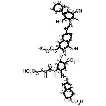 Cc1c(N=Nc2ccc3c(O)c(N=Nc4cc(NC(=O)NCCC(=O)O)c(N=Nc5nc6ccc(C(=O)O)cc6s5)cc4S(=O)(=O)O)c(SOOO)cc3c2)c(O)n2c(nc3ccccc32)c1C#N